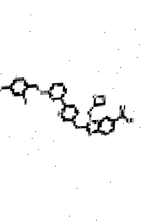 O=C(O)c1ccc2nc(Cc3ccc(-c4cccc(OCc5ccc(Cl)cc5F)n4)nc3)n(CC3CCO3)c2c1